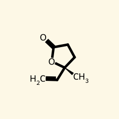 C=C[C@@]1(C)CCC(=O)O1